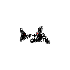 Fc1ccc(B2OB(c3ccc(F)cc3)OB(c3ccc(F)cc3)O2)cc1.Oc1ccc(/N=N/c2ccccc2)cc1B1OB(c2cc(/N=N/c3ccccc3)ccc2O)OB(c2cc(/N=N/c3ccccc3)ccc2O)O1